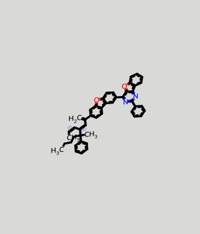 C=C(/C=C(\C=C/C)C(C)(CCCC)c1ccccc1)c1ccc2c(c1)oc1ccc(-c3nc(-c4ccccc4)nc4c3oc3ccccc34)cc12